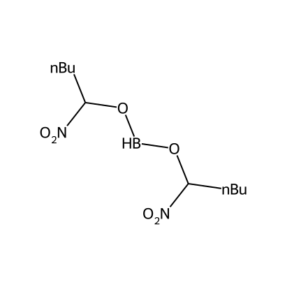 CCCCC(OBOC(CCCC)[N+](=O)[O-])[N+](=O)[O-]